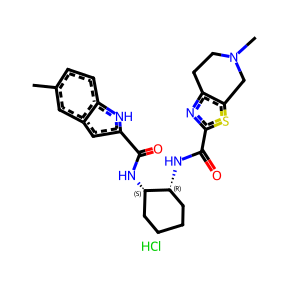 Cc1ccc2[nH]c(C(=O)N[C@H]3CCCC[C@H]3NC(=O)c3nc4c(s3)CN(C)CC4)cc2c1.Cl